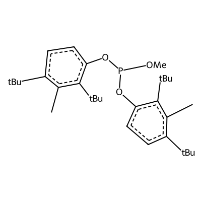 COP(Oc1ccc(C(C)(C)C)c(C)c1C(C)(C)C)Oc1ccc(C(C)(C)C)c(C)c1C(C)(C)C